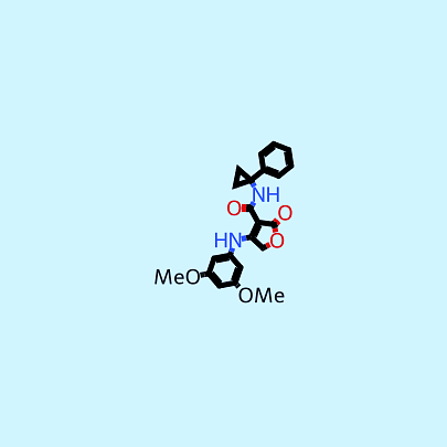 COc1cc(NC2=C(C(=O)NC3(c4ccccc4)CC3)C(=O)OC2)cc(OC)c1